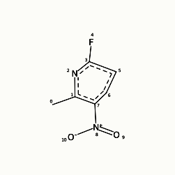 Cc1nc(F)ccc1[N+](=O)[O-]